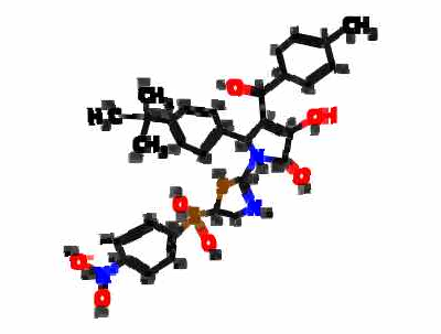 CC1=CCC(C(=O)C2=C(O)C(=O)N(C3=NCC(S(=O)(=O)c4ccc([N+](=O)[O-])cc4)S3)C2c2ccc(C(C)(C)C)cc2)C=C1